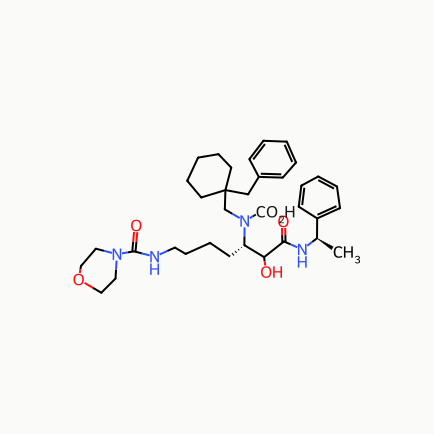 C[C@@H](NC(=O)C(O)[C@H](CCCCNC(=O)N1CCOCC1)N(CC1(Cc2ccccc2)CCCCC1)C(=O)O)c1ccccc1